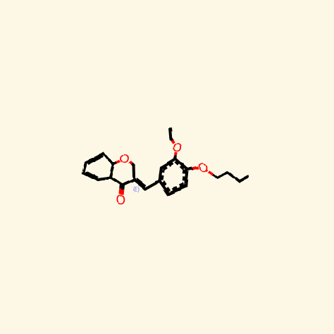 CCCCOc1ccc(/C=C2\COC3C=CC=CC3C2=O)cc1OCC